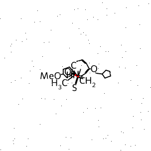 C=C1/C=C(OCC2CCCC2)\C=C/CCC2(CCC(OC)CC2)C12NC(=S)N(C)C2=O